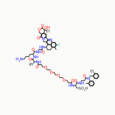 CCc1ccccc1CN(C(=O)CCNC(=O)C(CS(=O)(=O)O)NC(=O)CCOCCOCCOCCOCCC(=O)NC(C(=O)NC(CCCCN)C(=O)NCC(=O)NC1CCc2c(C)c(F)cc3nc4c(c1c23)Cn1c-4cc2c(c1=O)COC(=O)C2(O)CC)C(C)C)c1ccccc1C